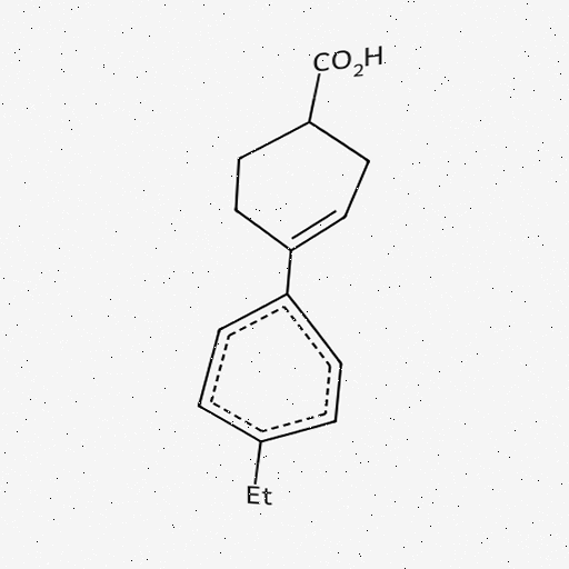 CCc1ccc(C2=CCC(C(=O)O)CC2)cc1